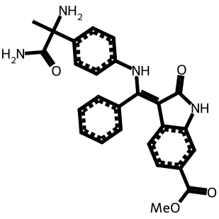 COC(=O)c1ccc2c(c1)NC(=O)/C2=C(\Nc1ccc(C(C)(N)C(N)=O)cc1)c1ccccc1